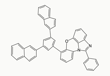 c1ccc(-c2nc3cccc4c3n2-c2cccc(-c3cc(-c5ccc6ccccc6c5)cc(-c5ccc6ccccc6c5)c3)c2O4)cc1